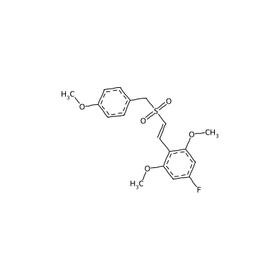 COc1ccc(CS(=O)(=O)C=Cc2c(OC)cc(F)cc2OC)cc1